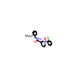 COc1ccccc1CNC(=O)C1CCCN([S+]([O-])c2ccccc2Cl)C1